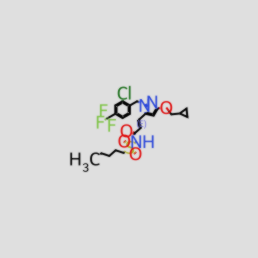 CCCCCS(=O)(=O)NC(=O)/C=C/c1cc(OCC2CC2)nn1Cc1ccc(C(F)(F)F)cc1Cl